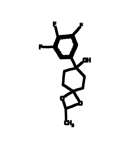 CC1OC2(CCC(O)(c3cc(F)c(F)c(F)c3)CC2)O1